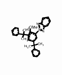 COc1c(-n2nc3ccccc3n2)cc(C(C)(C)c2ccccc2)cc1C(C)(C)c1ccccc1